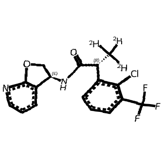 [2H]C([2H])([2H])[C@@H](C(=O)N[C@@H]1COc2ncccc21)c1cccc(C(F)(F)F)c1Cl